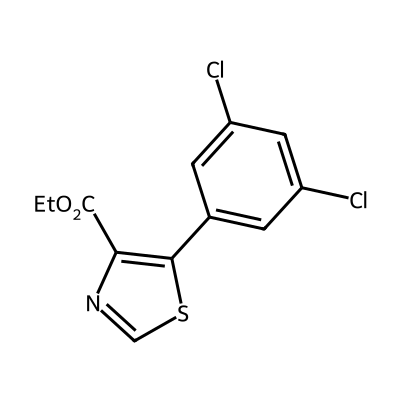 CCOC(=O)c1ncsc1-c1cc(Cl)cc(Cl)c1